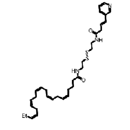 CC/C=C\C/C=C\C/C=C\C/C=C\C/C=C\CCCC(=O)NCCSSCCNC(=O)C/C=C/c1cccnc1